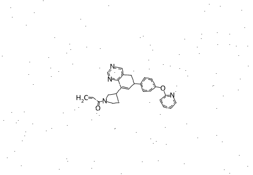 C=CC(=O)N1CCC(C2=CC(c3ccc(Oc4ccccn4)cc3)Cc3cncnc32)C1